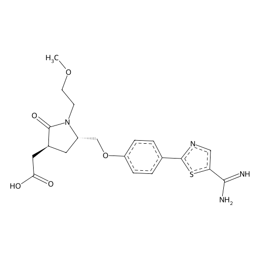 COCCN1C(=O)[C@H](CC(=O)O)C[C@H]1COc1ccc(-c2ncc(C(=N)N)s2)cc1